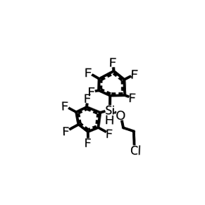 Fc1c(F)c(F)c([SiH](OCCCl)c2c(F)c(F)c(F)c(F)c2F)c(F)c1F